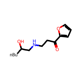 CCCCC(O)CNCCC(=O)c1ccco1